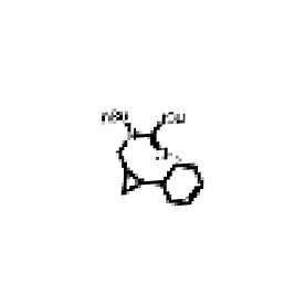 C=C(N(CCCC)CC1CC1C1CC=CCC1)C(C)(C)C